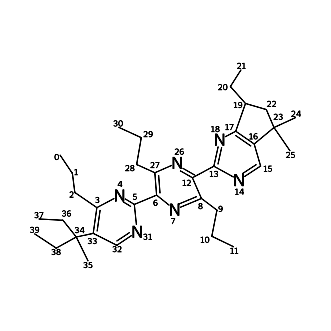 CCCc1nc(-c2nc(CCC)c(-c3ncc4c(n3)C(CC)CC4(C)C)nc2CCC)ncc1C(C)(CC)CC